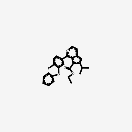 CCOC(=O)c1c(C(C)C)cc2ccoc(-c3ccc(F)c(Oc4ccccc4)c3)c1-2